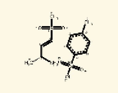 C[C@@H](N)/C=C/S(C)(=O)=O.Cc1ccc(S(=O)(=O)O)cc1